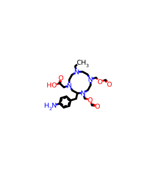 CCN1CCN(COC=O)CCN(COC=O)C(Cc2ccc(N)cc2)CN(CC(=O)O)CC1